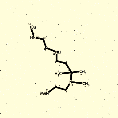 CNCCN(C)C(C)(C)CCNCCNC(C)(C)C